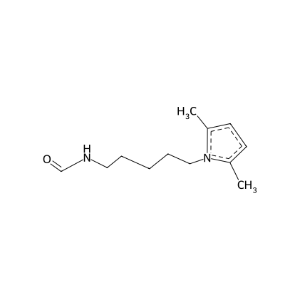 Cc1ccc(C)n1CCCCCNC=O